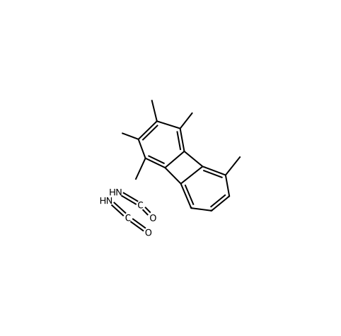 Cc1cccc2c1-c1c(C)c(C)c(C)c(C)c1-2.N=C=O.N=C=O